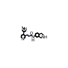 Cn1cc(-c2ccncc2/C=C/C(=O)Nc2ccc3c(c2)CNCC3)cn1